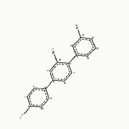 Fc1ccc(-c2ccc(-c3cccc(F)c3)c(F)c2)cc1